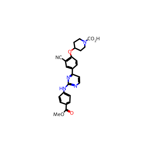 COC(=O)c1ccc(Nc2nccc(-c3ccc(OC4CCN(C(=O)O)CC4)c(C#N)c3)n2)cc1